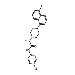 CC(C(=O)Nc1ccc(Cl)cc1)C1CCC(c2ccnc3c(F)cccc23)CC1